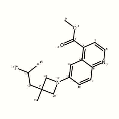 COC(=O)c1ccnc2ccc(N3CC(C)(CC(F)F)C3)cc12